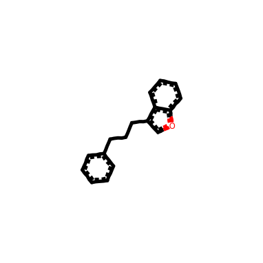 c1ccc(CCCc2coc3ccccc23)cc1